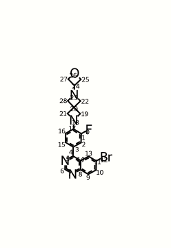 Fc1cc(-c2ncnc3ccc(Br)cc23)ccc1N1CC2(C1)CN(C1COC1)C2